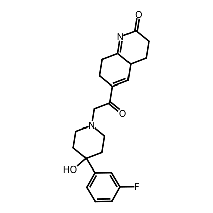 O=C1CCC2C=C(C(=O)CN3CCC(O)(c4cccc(F)c4)CC3)CCC2=N1